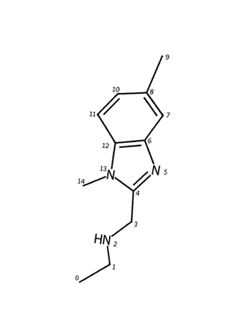 CCNCc1nc2cc(C)ccc2n1C